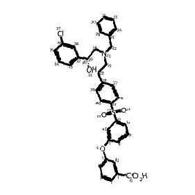 O=C(O)c1cccc(Oc2cccc(S(=O)(=O)c3ccc(CCN(Cc4ccccc4)C[C@H](O)c4cccc(Cl)c4)cc3)c2)c1